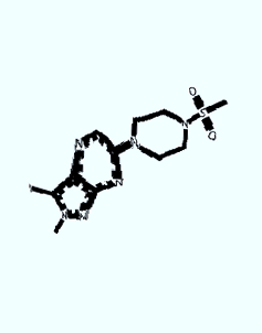 Cn1nc2nc(N3CCN(S(C)(=O)=O)CC3)cnc2c1I